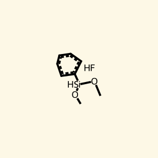 CO[SiH](OC)c1ccccc1.F